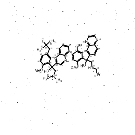 COc1ccc(C(C)(C)C)cc1C(O)(CNCC(C)C)c1ccc2nccnc2c1.COc1ccc(CC(C)(C)F)cc1C(O)(CN(C)C)c1cnc2ccccc2n1